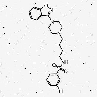 O=S(=O)(NCCCCN1CCN(c2noc3ccccc23)CC1)c1cccc(Cl)c1